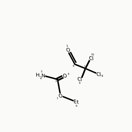 CCOC(N)=O.O=CC(Cl)(Cl)Cl